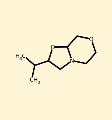 CC(C)C1CN2CCOCC2O1